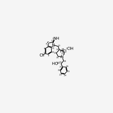 Cl.Cl.N=c1sc2cc(Cl)ccc2n1CC1CCN(C[C@@H](O)c2ccccc2)CC1